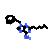 CCCCCCc1nc(N)c2ncn(Cc3ccccc3)c2n1